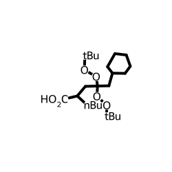 CCCCC(CC(CC1CCCCC1)(OOC(C)(C)C)OOC(C)(C)C)C(=O)O